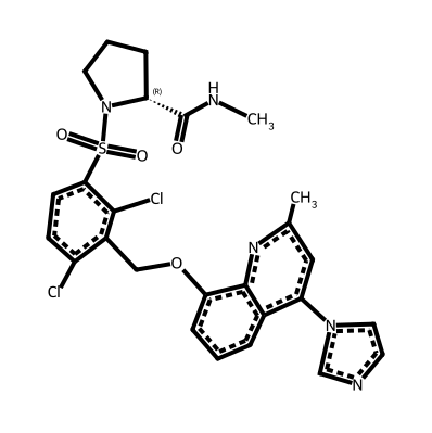 CNC(=O)[C@H]1CCCN1S(=O)(=O)c1ccc(Cl)c(COc2cccc3c(-n4ccnc4)cc(C)nc23)c1Cl